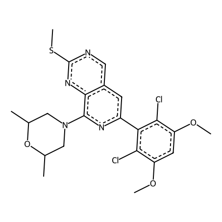 COc1cc(OC)c(Cl)c(-c2cc3cnc(SC)nc3c(N3CC(C)OC(C)C3)n2)c1Cl